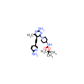 Cc1nc(N)nc(N2CCC(NC(=O)OC(C)(C)C)CC2)c1C#Cc1ccc(N)nc1